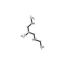 CNCN(C)CNCO